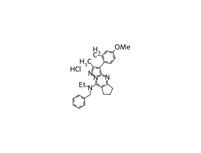 CCN(Cc1ccccc1)c1c2c(nc3c(-c4ccc(OC)cc4C)c(C)nn13)CCC2.Cl